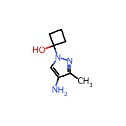 Cc1nn(C2(O)CCC2)cc1N